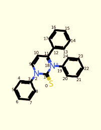 S=c1n(-c2ccccc2)ccc(-c2ccccc2)[n+]1-c1ccccc1